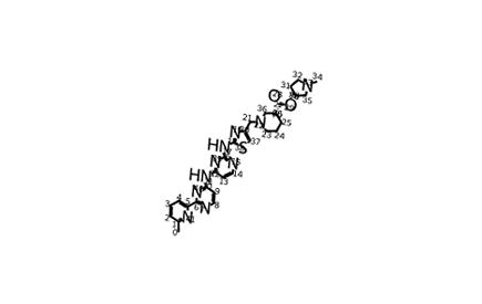 Cc1cccc(-c2nccc(Nc3ccnc(Nc4nc(CN5CCC[C@@H](C(=O)O[C@@H]6CCN(C)C6)C5)cs4)n3)n2)n1